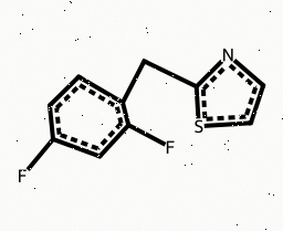 Fc1ccc(Cc2nccs2)c(F)c1